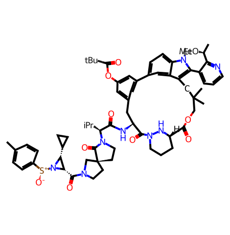 CCn1c(-c2cccnc2[C@H](C)OC)c2c3cc(ccc31)-c1cc(cc(OC(=O)C(C)(C)C)c1)C[C@H](NC(=O)[C@H](C(C)C)N1CC[C@]3(CCN(C(=O)[C@H]4[C@@H](C5CC5)N4[S@+]([O-])c4ccc(C)cc4)C3)C1=O)C(=O)N1CCC[C@H](N1)C(=O)OCC(C)(C)C2